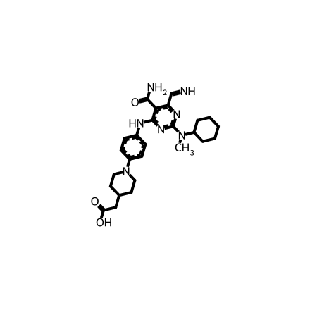 CN(c1nc(C=N)c(C(N)=O)c(Nc2ccc(N3CCC(CC(=O)O)CC3)cc2)n1)C1CCCCC1